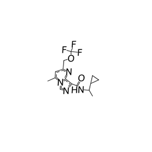 Cc1cc(COC(F)(F)F)nc2c(C(=O)NC(C)C3CC3)ncn12